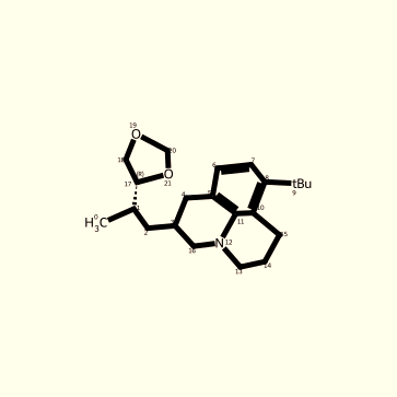 CC(CC1Cc2ccc(C(C)(C)C)c3c2N(CCC3)C1)[C@@H]1COCO1